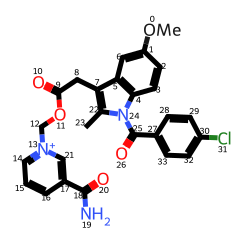 COc1ccc2c(c1)c(CC(=O)OC[n+]1cccc(C(N)=O)c1)c(C)n2C(=O)c1ccc(Cl)cc1